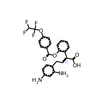 Nc1ccc(C/C=C(/C(=O)O)c2ccccc2OC(=O)c2ccc(OC(F)(F)C(F)F)cc2)c(N)c1